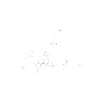 CCC(COc1cc(N(C)C)c2ccc3c(S(=O)(=O)N(C)CCCNC(CCCCN)C(=O)O)cc(S(=O)(=O)N(C)CCCNC(CCCCN)C(=O)O)c4ccc1c2c43)(COS(=O)(=O)O)COS(=O)(=O)O